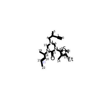 C#CC(C)CN1CN(c2snc(CC)c2C)C(=O)N(C(C)/C=C/C)C1